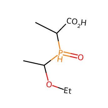 CCOC(C)[PH](=O)C(C)C(=O)O